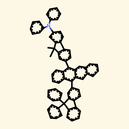 CC1(C)c2cc(-c3c4ccccc4c(-c4ccc5c(c4)C(c4ccccc4)(c4ccccc4)c4ccccc4-5)c4cc5ccccc5cc34)ccc2-c2ccc(N(c3ccccc3)c3ccccc3)cc21